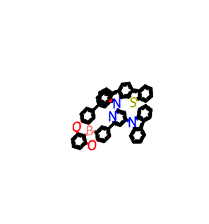 c1ccc(-c2ccc3c(c2)B2c4cc(-c5cc(-n6c7ccccc7c7ccccc76)cc(-n6c7ccccc7c7ccc8c9ccccc9sc8c76)n5)ccc4Oc4cccc(c42)O3)cc1